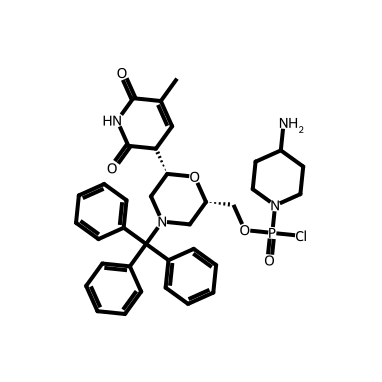 CC1=CC([C@H]2CN(C(c3ccccc3)(c3ccccc3)c3ccccc3)C[C@@H](COP(=O)(Cl)N3CCC(N)CC3)O2)C(=O)NC1=O